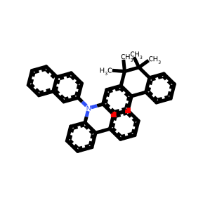 CC1(C)c2ccccc2-c2ccc(N(c3ccc4ccccc4c3)c3ccccc3-c3ccccc3)cc2C1(C)C